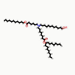 CCCCCCCCCCCOC(=O)CCCCCN(CCCCCCCCCCCCO)CCCCCCCC(=O)OC(CCCCCCCC)CCCCCCCC